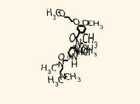 CCN(CCN(C)C)C(=O)C[C@@H]1CC[C@@H](N(C(=O)c2ccc(OC)c(OCCCOC)c2)C(C)C)CN1.Cl.Cl